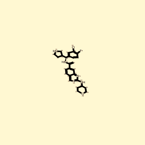 C=C(N[C@H](c1ccc(F)c(Cl)c1)C1CCNC1)c1ccc2cnc(NC3CCOCC3)nc2c1